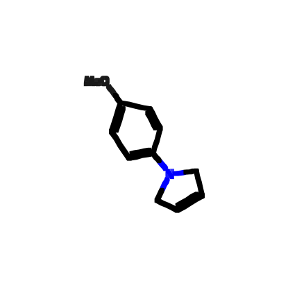 COc1ccc(N2CC=CC2)cc1